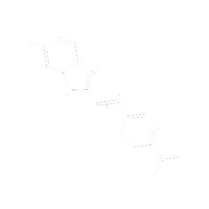 Cc1ccc2nc(/N=N/c3ccc(N(C)C)cc3)sc2c1